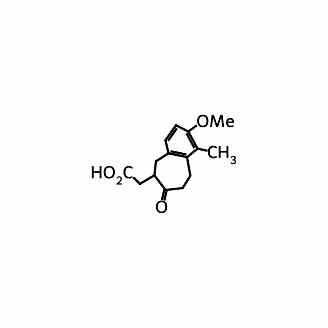 COc1ccc2c(c1C)CCC(=O)C(CC(=O)O)C2